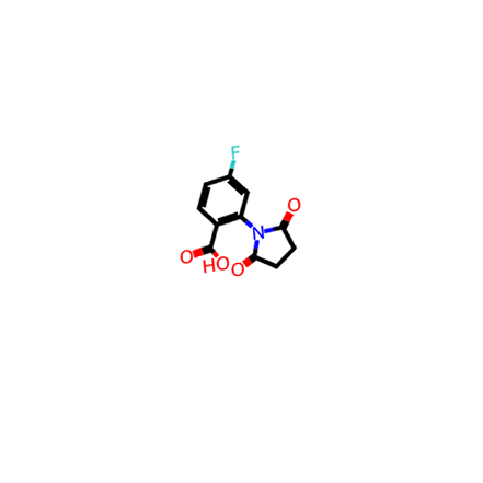 O=C(O)c1ccc(F)cc1N1C(=O)CCC1=O